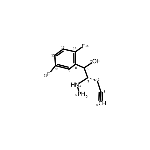 C#CC[C@H](NP)C(O)c1cc(F)ccc1F